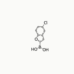 OB(O)c1cc2cc(Cl)ccc2o1